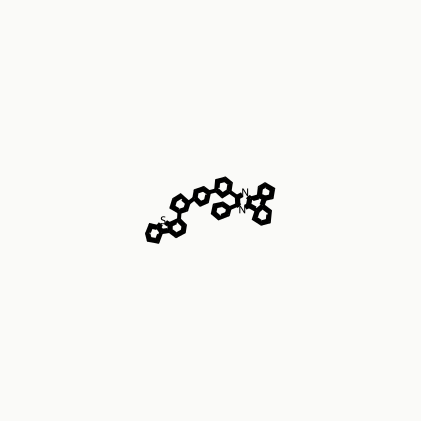 c1ccc(-c2nc3c4ccccc4c4ccccc4c3nc2-c2cccc(-c3ccc(-c4cccc(-c5cccc6c5sc5ccccc56)c4)cc3)c2)cc1